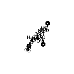 CC(OC(=O)OCc1ccc([N+](=O)[O-])cc1)[C@H]1C(=O)N2C(C(=O)OCc3ccccc3)=C(OCCN(C(=O)OCc3ccccc3)[N+](=O)[O-])C(=[N+]=[N-])[S+]([O-])[C@H]12